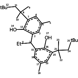 CCC(c1cc(C)cc(C(C)(C)CC(C)(C)C)c1O)c1cc(C)cc(C(C)(C)CC(C)(C)C)c1O